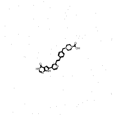 O=C(O)N1CCN(Cc2ccc(C=Cc3cc(-c4cc5c(=O)[nH]cnc5[nH]4)ccn3)cc2)CC1